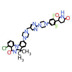 CC1(C)c2ccc(N3CCN(Cc4cnc(N5CCN(c6cc(F)c(C7CCC(=O)NC7=O)c(F)c6)CC5)nc4)CC3)cc2-n2c1nc(=O)c1c(Cl)cccc12